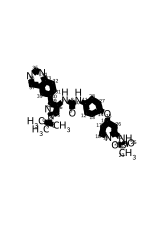 CC(C)(C)n1cc(NC(=O)Nc2ccc(Oc3ccnc(NS(C)(=O)=O)c3)cc2)c(-c2ccc3ncncc3c2)n1